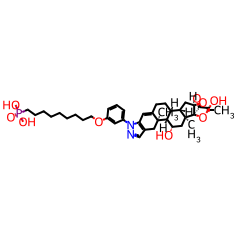 CC1O[C@@H]2C[C@H]3[C@@H]4CCC5=Cc6c(cnn6-c6cccc(OCCCCCCCCCP(=O)(O)O)c6)C[C@]5(C)[C@H]4[C@@H](O)C[C@]3(C)[C@]2(C(=O)CO)O1